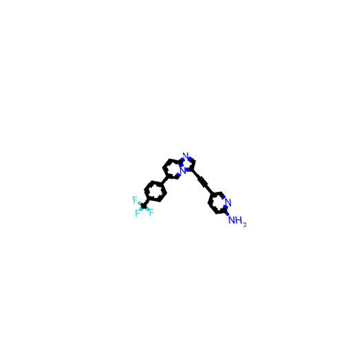 Nc1ccc(C#Cc2cnc3ccc(-c4ccc(C(F)(F)F)cc4)cn23)cn1